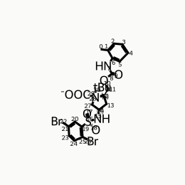 Cc1ccccc1NC(=O)OC[C@H]1C[C@@H](NS(=O)(=O)c2cc(Br)ccc2Br)C[N+]1(C(=O)[O-])C(C)(C)C